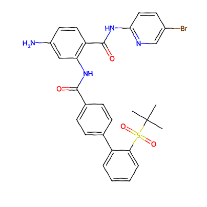 CC(C)(C)S(=O)(=O)c1ccccc1-c1ccc(C(=O)Nc2cc(N)ccc2C(=O)Nc2ccc(Br)cn2)cc1